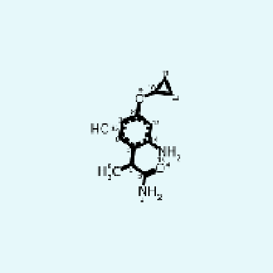 CC(C(N)=O)c1ccc(OC2CC2)cc1N.Cl